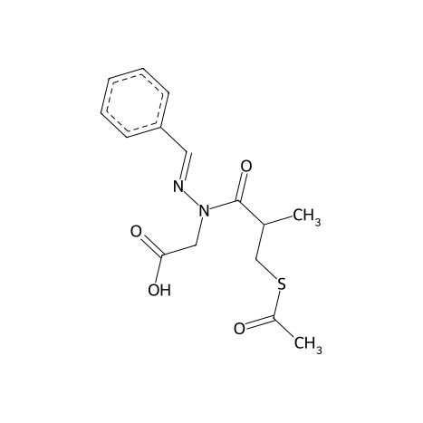 CC(=O)SCC(C)C(=O)N(CC(=O)O)N=Cc1ccccc1